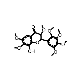 COc1cc2c(c(O)c1OC)OC(c1cc(OC)c(OC)c(OC)c1OC)C(OC)C2=O